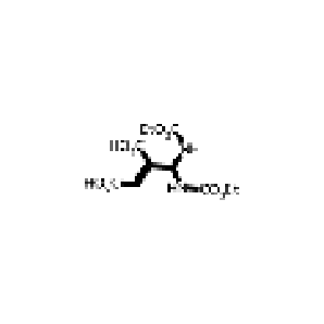 CCOC(=O)NC(NC(=O)OCC)C(=CC(=O)O)C(=O)O